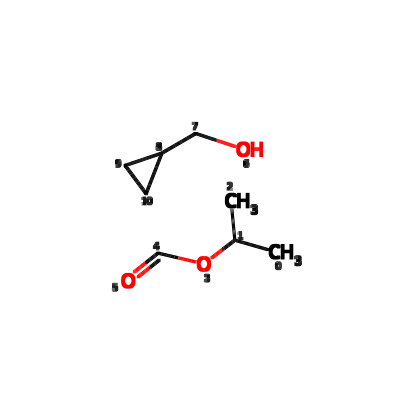 CC(C)OC=O.OCC1CC1